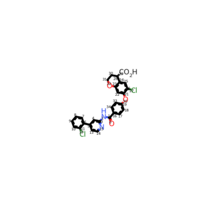 O=C(Nc1cc(-c2ccccc2Cl)ccn1)c1ccc(Oc2cc3c(cc2Cl)C(C(=O)O)CCO3)cc1